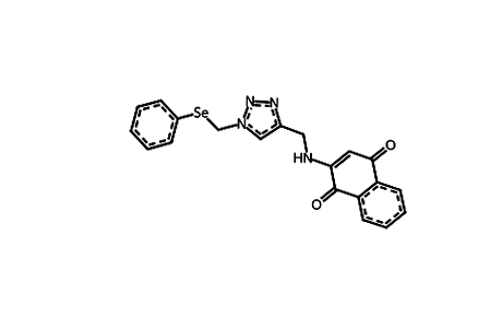 O=C1C=C(NCc2cn(C[Se]c3ccccc3)nn2)C(=O)c2ccccc21